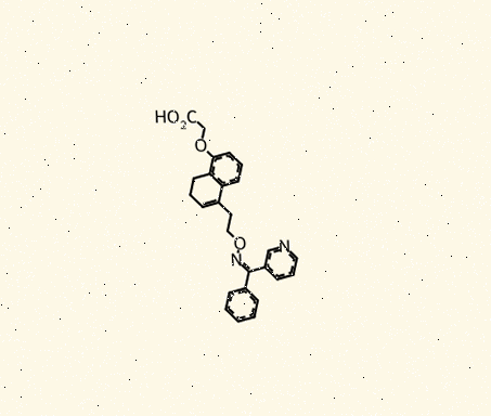 O=C(O)COc1cccc2c1CCC=C2CCON=C(c1ccccc1)c1cccnc1